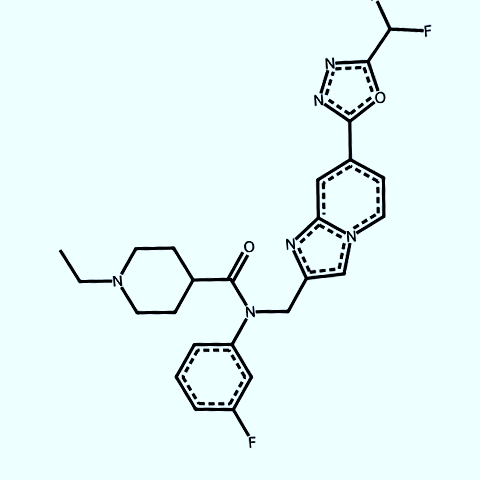 CCN1CCC(C(=O)N(Cc2cn3ccc(-c4nnc(C(F)F)o4)cc3n2)c2cccc(F)c2)CC1